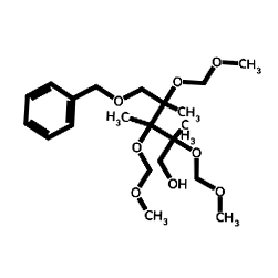 COCOC(C)(CO)C(C)(OCOC)C(C)(COCc1ccccc1)OCOC